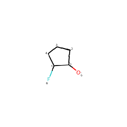 [O]C1CCCC1F